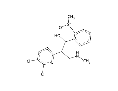 CNCC(c1ccc(Cl)c(Cl)c1)C(O)c1ccccc1[S+](C)[O-]